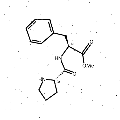 COC(=O)[C@H](Cc1ccccc1)NC(=O)[C@@H]1CCCN1